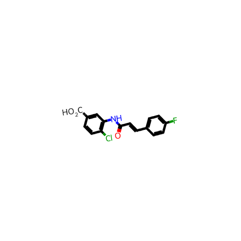 O=C(C=Cc1ccc(F)cc1)Nc1cc(C(=O)O)ccc1Cl